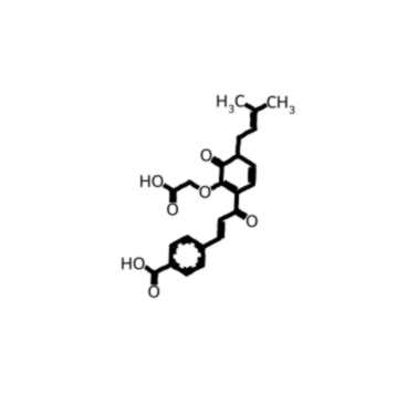 CC(C)=CCC1C=CC(C(=O)C=Cc2ccc(C(=O)O)cc2)=C(OCC(=O)O)C1=O